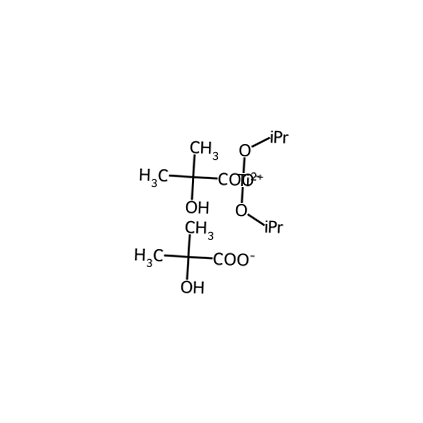 CC(C)(O)C(=O)[O-].CC(C)(O)C(=O)[O-].CC(C)[O][Ti+2][O]C(C)C